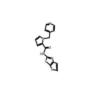 O=C(Nc1nc2ccsc2s1)c1cccn1Cc1ccncc1